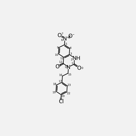 O=c1[nH]c2cc([N+](=O)[O-])ccc2c(=O)n1CCc1ccc(Cl)cc1